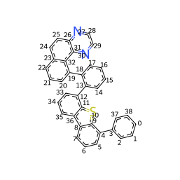 c1ccc(-c2cccc3c2sc2c(-c4ccccc4-c4cccc5ccc6nccnc6c45)cccc23)cc1